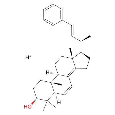 C[C@H](/C=C/c1ccccc1)[C@H]1CCC2=C3C=C[C@H]4C(C)(C)[C@@H](O)CC[C@]4(C)[C@H]3CC[C@@]21C.[H+]